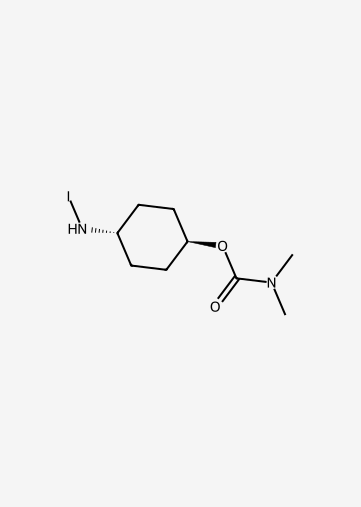 CN(C)C(=O)O[C@H]1CC[C@H](NI)CC1